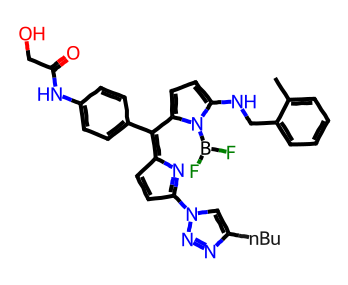 CCCCc1cn(C2=N/C(=C(/c3ccc(NC(=O)CO)cc3)c3ccc(NCc4ccccc4C)n3B(F)F)C=C2)nn1